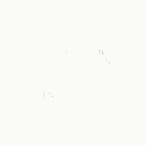 C=Cc1[nH]nc(C(C)OCC[Si](C)(C)C)c1-c1ccc(N)cc1.Cl